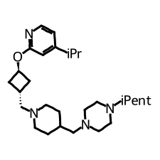 CCCC(C)N1CCN(CC2CCN(C[C@H]3C[C@H](Oc4cc(C(C)C)ccn4)C3)CC2)CC1